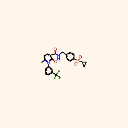 Cc1ccc(C(=O)NCc2ccc(S(=O)(=O)C3CC3)cc2)c(=O)n1-c1cccc(C(F)(F)F)c1